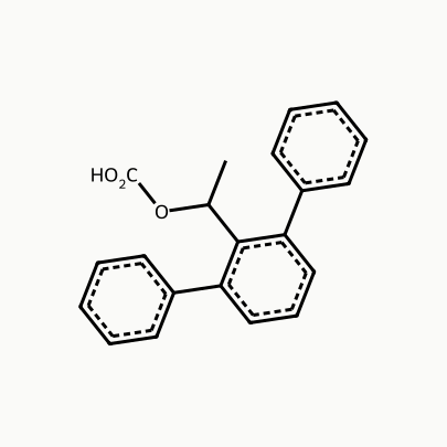 CC(OC(=O)O)c1c(-c2ccccc2)cccc1-c1ccccc1